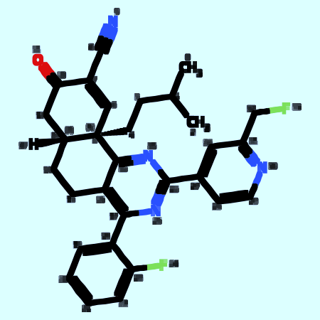 CC(C)CC[C@@]12C=C(C#N)C(=O)C[C@H]1CCc1c(-c3ccccc3F)nc(-c3ccnc(CF)c3)nc12